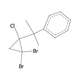 CC(C)(c1ccccc1)C1(Cl)CC1(Br)Br